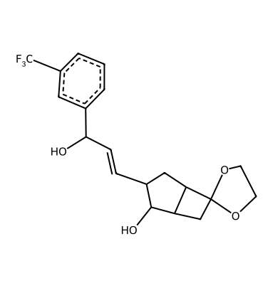 OC(C=CC1CC2C(CC23OCCO3)C1O)c1cccc(C(F)(F)F)c1